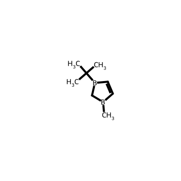 CB1C=CB(C(C)(C)C)C1